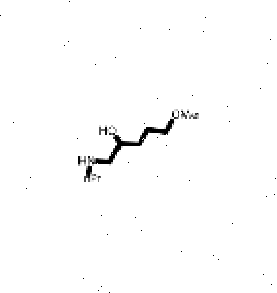 CCCNCC(O)CCCOC